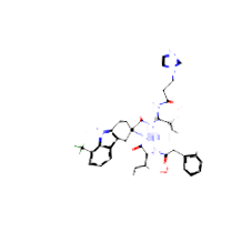 CCC(C)[C@H](NC(=O)Cc1ccccc1F)C(=O)NC1(C(=O)N[C@@H](NC(=O)CCn2ccnc2)[C@@H](C)CC)CCc2[nH]c3c(C(F)(F)F)cccc3c2C1